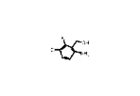 Nc1ccc(Cl)c(F)c1CO